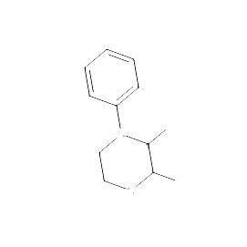 Cl.ClC1NCCN(c2ccccc2)C1Cl